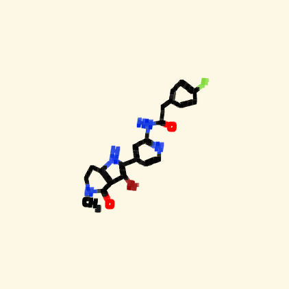 CN1CCc2[nH]c(-c3ccnc(NC(=O)Cc4ccc(F)cc4)c3)c(Br)c2C1=O